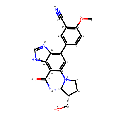 COc1ccc(-c2cc(N3CC[C@H](CO)C3)c(C(N)=O)c3[nH]cnc23)cc1C#N